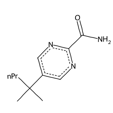 CCCC(C)(C)c1cnc(C(N)=O)nc1